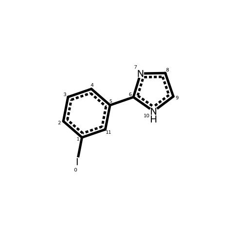 Ic1cccc(-c2ncc[nH]2)c1